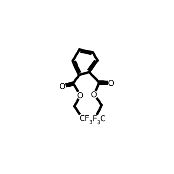 O=C(OCC(F)(F)F)c1ccccc1C(=O)OCC(F)(F)F